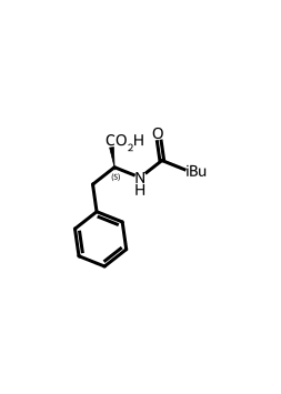 CCC(C)C(=O)N[C@@H](Cc1ccccc1)C(=O)O